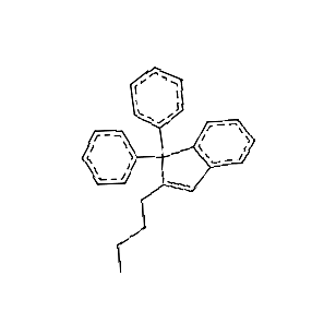 CCCCC1=Cc2ccccc2C1(c1ccccc1)c1ccccc1